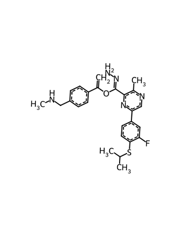 C=C(O/C(=N\N)c1nc(-c2ccc(SC(C)C)c(F)c2)cnc1C)c1ccc(CNC)cc1